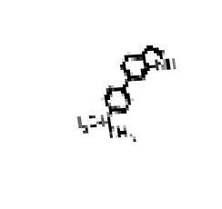 CN(C)c1ccc(-c2ccc3cc[nH]c3c2)cc1